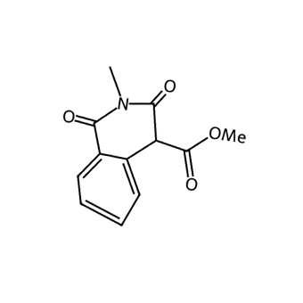 COC(=O)C1C(=O)N(C)C(=O)c2ccccc21